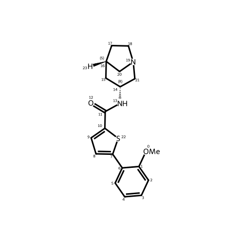 COc1ccccc1-c1ccc(C(=O)N[C@@H]2C[C@@H]3CCN(C3)C2)s1